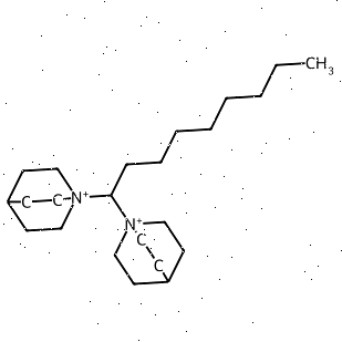 CCCCCCCCC([N+]12CCC(CC1)CC2)[N+]12CCC(CC1)CC2